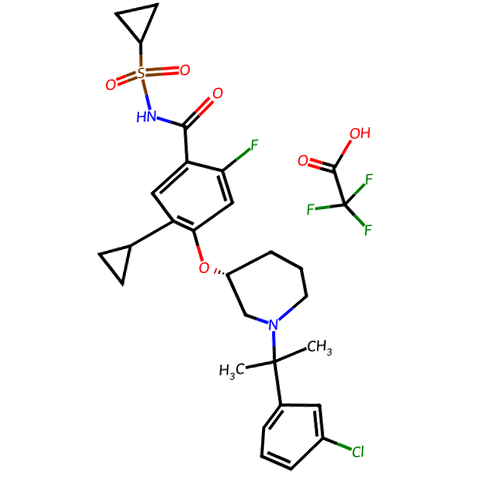 CC(C)(c1cccc(Cl)c1)N1CCC[C@@H](Oc2cc(F)c(C(=O)NS(=O)(=O)C3CC3)cc2C2CC2)C1.O=C(O)C(F)(F)F